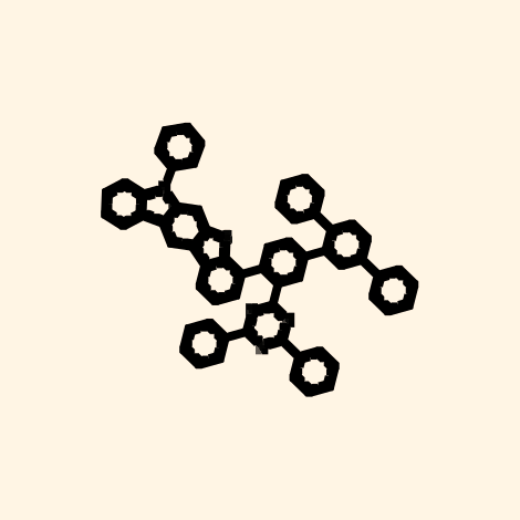 c1ccc(-c2ccc(-c3ccccc3)c(-c3ccc(-c4cccc5c4sc4cc6c(cc45)c4ccccc4n6-c4ccccc4)c(-c4nc(-c5ccccc5)nc(-c5ccccc5)n4)c3)c2)cc1